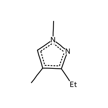 CCc1nn(C)cc1C